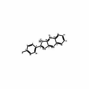 Cc1ccc(-c2nc3nc4ccccc4nc3[nH]2)cc1